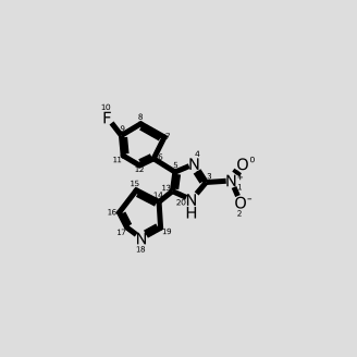 O=[N+]([O-])c1nc(-c2ccc(F)cc2)c(-c2cccnc2)[nH]1